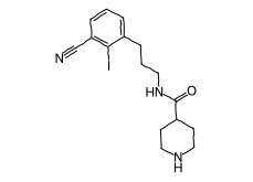 N#Cc1cccc(CCCNC(=O)C2CCNCC2)c1I